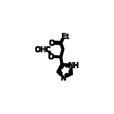 CCC(=O)CC(OC=O)c1cnc[nH]1